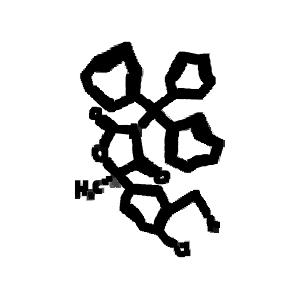 C[C@]1(c2ccc(Cl)c(CBr)c2)OC(=O)N(C(c2ccccc2)(c2ccccc2)c2ccccc2)C1=O